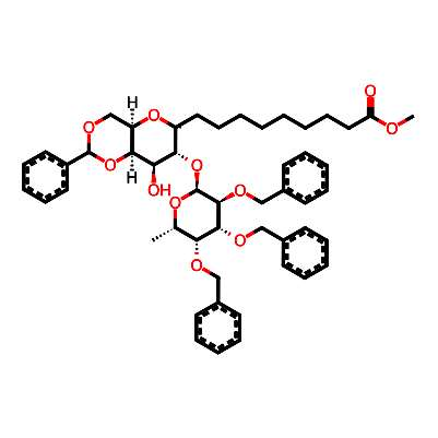 COC(=O)CCCCCCCC[C]1O[C@@H]2COC(c3ccccc3)O[C@@H]2[C@H](O)[C@H]1O[C@@H]1O[C@@H](C)[C@@H](OCc2ccccc2)[C@@H](OCc2ccccc2)[C@@H]1OCc1ccccc1